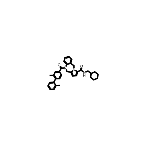 Cc1ccccc1-c1ccc(C(=O)N2Cc3ccc(C(=O)NCC4CCCCC4)n3Cc3ccccc32)cc1C